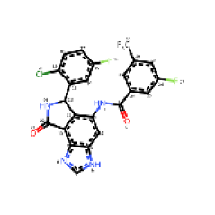 O=C(Nc1cc2[nH]cnc2c2c1C(c1cc(F)ccc1Cl)NC2=O)c1cc(F)cc(C(F)(F)F)c1